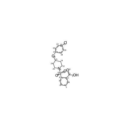 O=C(O)c1ccccc1S(=O)(=O)N1CCC(Oc2ccc(Cl)cc2)CC1